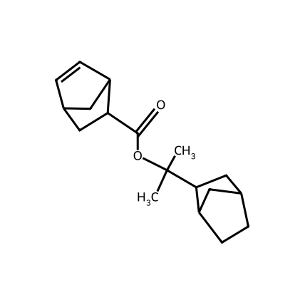 CC(C)(OC(=O)C1CC2C=CC1C2)C1CC2CCC1C2